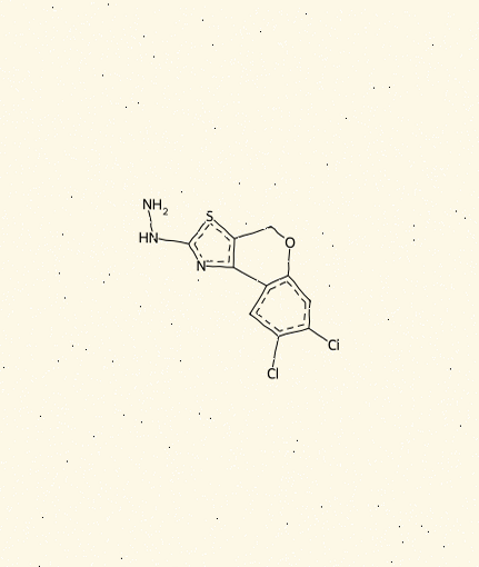 NNc1nc2c(s1)COc1cc(Cl)c(Cl)cc1-2